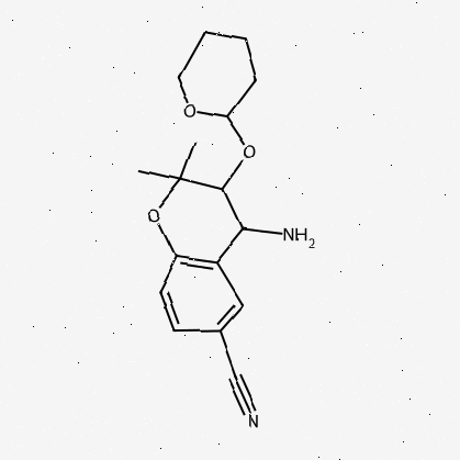 CC1(C)Oc2ccc(C#N)cc2C(N)C1OC1CCCCO1